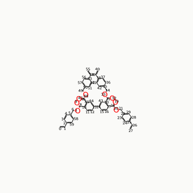 C=Cc1ccc(COC(=O)c2ccc(-c3ccc(C(=O)OCc4ccc(C=C)cc4)c(C(=O)OCc4ccc(C=C)cc4)c3)cc2C(=O)OCc2ccc(C=C)cc2)cc1